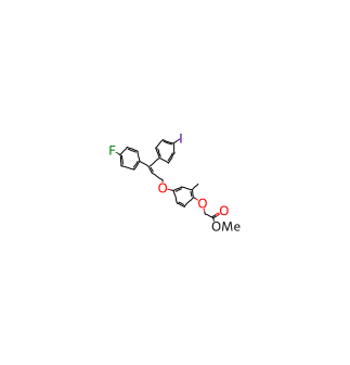 COC(=O)COc1ccc(OC/C=C(/c2ccc(F)cc2)c2ccc(I)cc2)cc1C